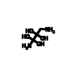 NCC(O)(O)C(N)(O)O